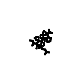 CCC(C)C(C(CC(=O)N1CCCC1C(OC)C(C)C)OC)N(C)C(=O)CCC(C)C